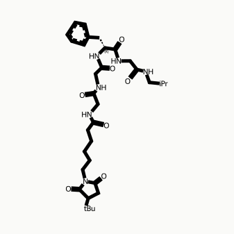 CC(C)CNC(=O)CNC(=O)[C@@H](Cc1ccccc1)NC(=O)CNC(=O)CNC(=O)CCCCCN1C(=O)CC(C(C)(C)C)C1=O